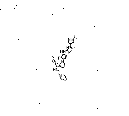 CCOCCC(NCCN1CCOCC1)[C@@H]1CCCN(c2ccc(Nc3ncc(C)c(-c4cnn(C(C)C)c4)n3)cc2F)C1